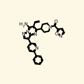 C=Cc1c(C2CCN(C(=O)c3ccno3)CC2)nc2c(-c3ccc(-c4ccccc4)nc3)cnn2c1N